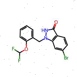 O=c1[nH]n(Cc2ccccc2OC(F)F)c2cc(Br)ccc12